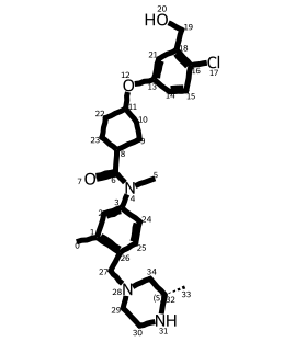 Cc1cc(N(C)C(=O)C2CCC(Oc3ccc(Cl)c(CO)c3)CC2)ccc1CN1CCN[C@@H](C)C1